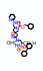 O=CN(CC(NS(=O)(=O)c1ccccc1-c1ccccc1)C(=O)O)C1=NO[C@]2(C1)CC(CNc1ccccn1)N(C(=O)OCc1ccccc1)C2